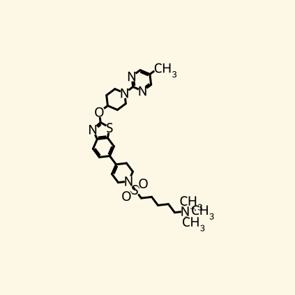 Cc1cnc(N2CCC(Oc3nc4ccc(C5=CCN(S(=O)(=O)CCCCC[N+](C)(C)C)CC5)cc4s3)CC2)nc1